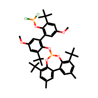 COc1cc(-c2cc(OC)cc(C(C)(C)C)c2Op2oc3c(C(C)(C)C)cc(C)cc3c3cc(C)cc(C(C)(C)C)c3o2)c(OP(Cl)Cl)c(C(C)(C)C)c1